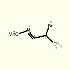 CO/N=C/C(C)Br